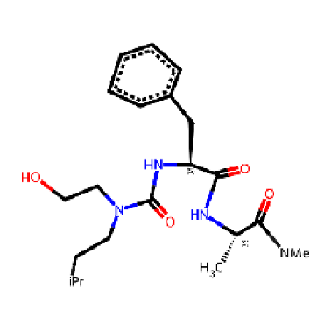 CNC(=O)[C@H](C)NC(=O)[C@H](Cc1ccccc1)NC(=O)N(CCO)CCC(C)C